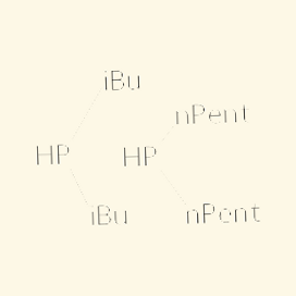 CCC(C)PC(C)CC.CCCCCPCCCCC